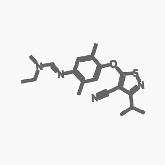 CCN(C)C=Nc1cc(C)c(Oc2snc(C(C)C)c2C#N)cc1C